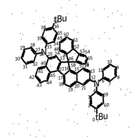 CC(C)(C)c1ccc(N(c2ccccc2)c2ccc3c4c(ccc3c2)-c2c(cc(N(c3ccccc3)c3ccc(C(C)(C)C)cc3)c3ccccc23)C42c3ccccc3-c3ccccc32)cc1